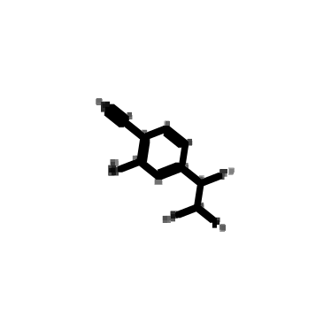 N#Cc1ccc(C(F)C(F)F)cc1Br